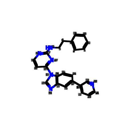 c1ccc(CCNc2nccc(-n3cnc4cc(-c5cccnc5)ccc43)n2)cc1